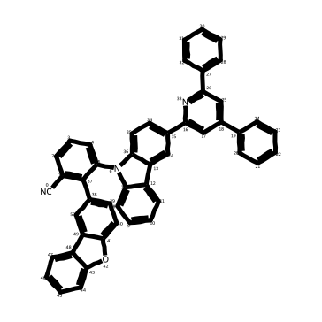 N#Cc1cccc(-n2c3ccccc3c3cc(-c4cc(-c5ccccc5)cc(-c5ccccc5)n4)ccc32)c1-c1ccc2oc3ccccc3c2c1